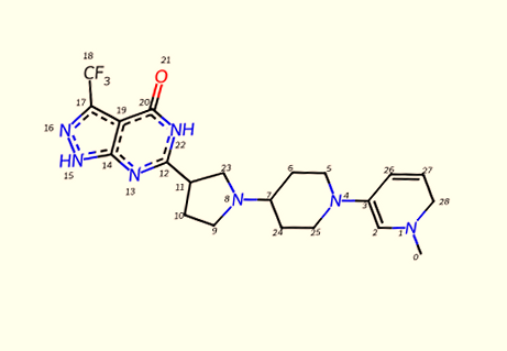 CN1C=C(N2CCC(N3CCC(c4nc5[nH]nc(C(F)(F)F)c5c(=O)[nH]4)C3)CC2)C=CC1